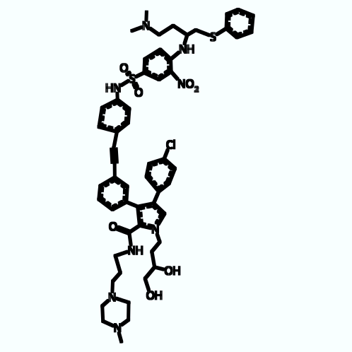 CN(C)CCC(CSc1ccccc1)Nc1ccc(S(=O)(=O)Nc2ccc(C#Cc3cccc(-c4c(-c5ccc(Cl)cc5)cn(CCC(O)CO)c4C(=O)NCCCN4CCN(C)CC4)c3)cc2)cc1[N+](=O)[O-]